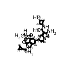 CNS(=O)(=O)c1cc(-c2ccn3nc(N)c(C(O)N[C@H]4C[C@H](O)C4)c3n2)cc2c1C(=O)N([C@@H](C)C1CC1)C2